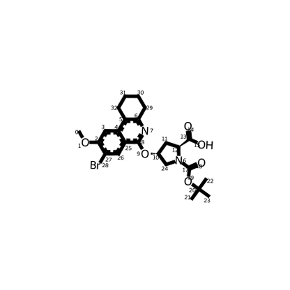 COc1cc2c3c(nc(O[C@@H]4C[C@@H](C(=O)O)N(C(=O)OC(C)(C)C)C4)c2cc1Br)CCCC3